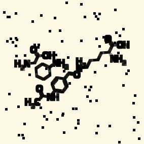 CC(=O)Nc1ccc(C=O)cc1.NC1CCCCC1.NCC(=O)O.NCCCC[C@@H](N)C(=O)O